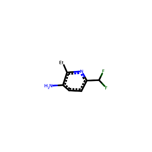 CCc1nc(C(F)F)ccc1N